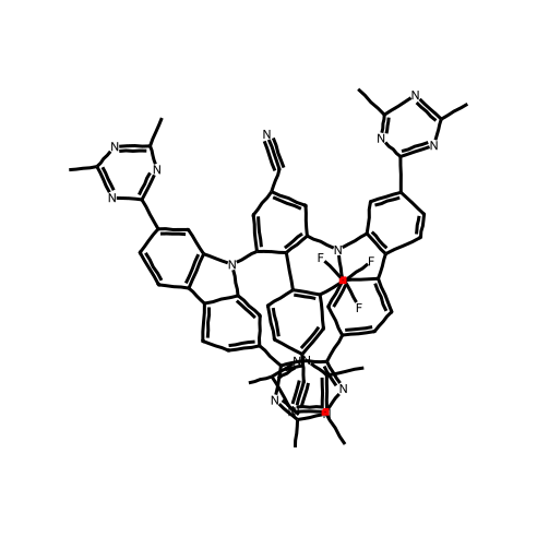 Cc1nc(C)nc(-c2ccc3c4ccc(-c5nc(C)nc(C)n5)cc4n(-c4cc(C#N)cc(-n5c6cc(-c7nc(C)nc(C)n7)ccc6c6ccc(-c7nc(C)nc(C)n7)cc65)c4-c4ccc(C#N)cc4C(F)(F)F)c3c2)n1